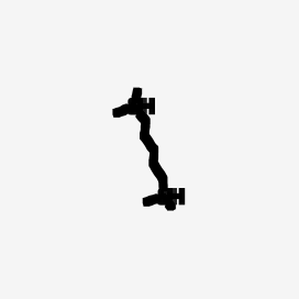 C[SiH](C)CCCCC[SiH](C)C